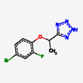 CC(Oc1ccc(Br)cc1F)c1nn[nH]n1